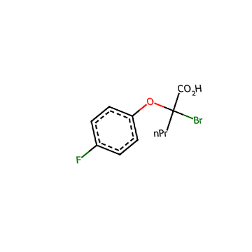 CCCC(Br)(Oc1ccc(F)cc1)C(=O)O